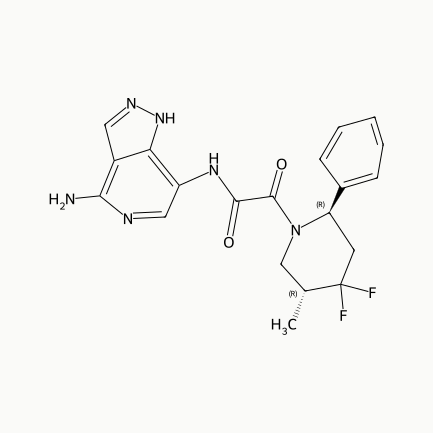 C[C@@H]1CN(C(=O)C(=O)Nc2cnc(N)c3cn[nH]c23)[C@@H](c2ccccc2)CC1(F)F